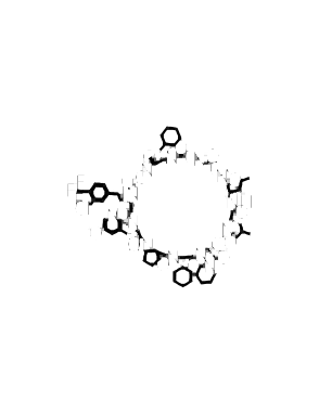 CC[C@H](C)[C@@H]1NC(=O)[C@H](CC(C)C)N(C)C(=O)C[C@@H](C(=O)N2CCCCC2)N(C)C(=O)[C@H](C2CCCCC2)N(C)C(=O)C2(CCCC2)NC(=O)[C@H](Cc2cncc(OC)c2)N(C)C(=O)[C@H](CCc2ccc(C(F)(F)F)c(Cl)c2)NC(=O)CN(C)C(=O)[C@H](CC2CCCCC2)N(C)C(=O)CN(C)C(=O)CN(C)C1=O